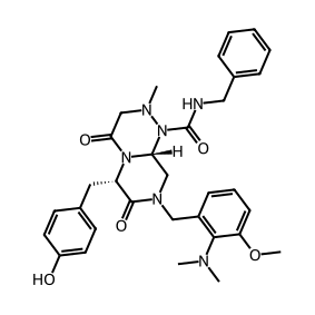 COc1cccc(CN2C[C@@H]3N(C(=O)CN(C)N3C(=O)NCc3ccccc3)[C@@H](Cc3ccc(O)cc3)C2=O)c1N(C)C